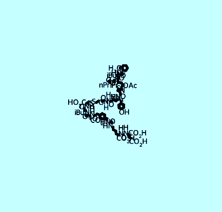 CCCC(=O)OCN(C(=O)[C@@H](NC(=O)[C@H]1CCCCN1C)C(C)CC)[C@H](C[C@@H](OC(C)=O)c1nc(C(=O)N[C@@H](Cc2ccc(O)cc2)C[C@H](C)C(=O)NNC(=O)OCCSSC[C@H](NC(=O)[C@@H](NC(=O)[C@H](CC(=O)O)NC(=O)Cc2ccc(CNC(=O)NCCCC[C@H](NC(=O)N[C@@H](CCC(=O)O)C(=O)O)C(=O)O)cc2)C(C)CC)C(=O)O)cs1)C(C)C